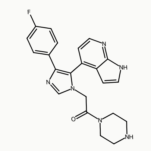 O=C(Cn1cnc(-c2ccc(F)cc2)c1-c1ccnc2[nH]ccc12)N1CCNCC1